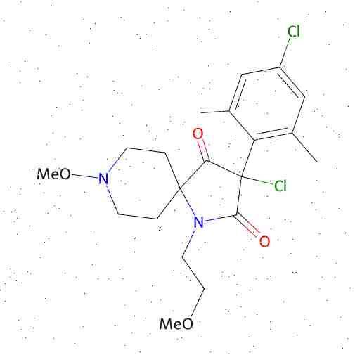 COCCN1C(=O)C(Cl)(c2c(C)cc(Cl)cc2C)C(=O)C12CCN(OC)CC2